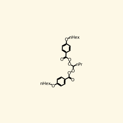 [CH2]CC[C](OOC(=O)c1ccc(OCCCCCC)cc1)OOC(=O)c1ccc(OCCCCCC)cc1